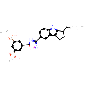 CCOC(=O)CC1CCc2c1[nH]c1ccc(-c3noc(-c4cc(S(C)(=O)=O)cc(S(C)(=O)=O)c4)n3)cc21